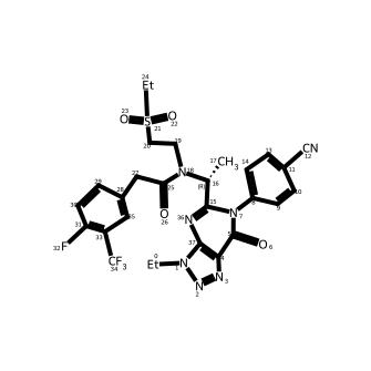 CCn1nnc2c(=O)n(-c3ccc(C#N)cc3)c([C@@H](C)N(CCS(=O)(=O)CC)C(=O)Cc3ccc(F)c(C(F)(F)F)c3)nc21